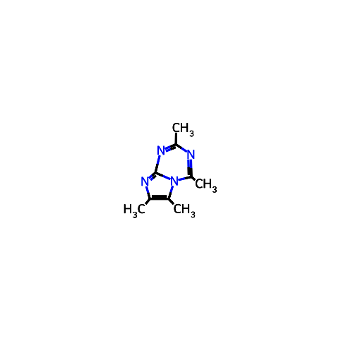 Cc1nc(C)n2c(C)c(C)nc2n1